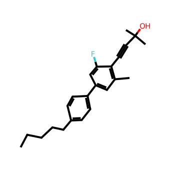 CCCCCc1ccc(-c2cc(C)c(C#CC(C)(C)O)c(F)c2)cc1